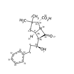 CC1(C)S[C@@H]2[C@H]([C@@H](O)CCc3ccccc3)C(=O)N2[C@H]1C(=O)O